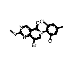 CSc1ncc2c(=O)n(-c3c(Cl)cc(C)cc3Cl)cc(Br)c2n1